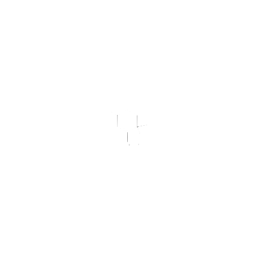 CCCCCCC1=CC(C=O)CCC1(C)C